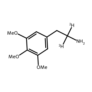 [2H]C([2H])(N)Cc1cc(OC)c(OC)c(OC)c1